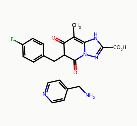 CC1=C2NC(C(=O)O)=NN2C(=O)C(Cc2ccc(F)cc2)C1=O.NCc1ccncc1